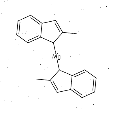 CC1=Cc2ccccc2[CH]1[Mg][CH]1C(C)=Cc2ccccc21